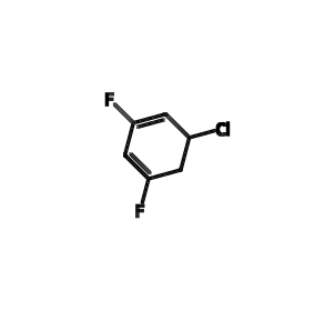 FC1=CC(Cl)CC(F)=C1